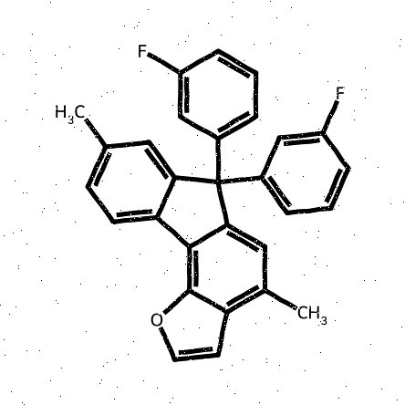 Cc1ccc2c(c1)C(c1cccc(F)c1)(c1cccc(F)c1)c1cc(C)c3ccoc3c1-2